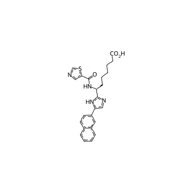 O=C(O)CCCCC[C@H](NC(=O)c1cncs1)c1ncc(-c2ccc3ccccc3c2)[nH]1